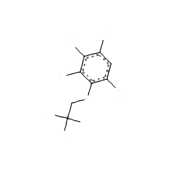 Cc1cc(N)c(NCC(C)(C)C)c(Br)c1F